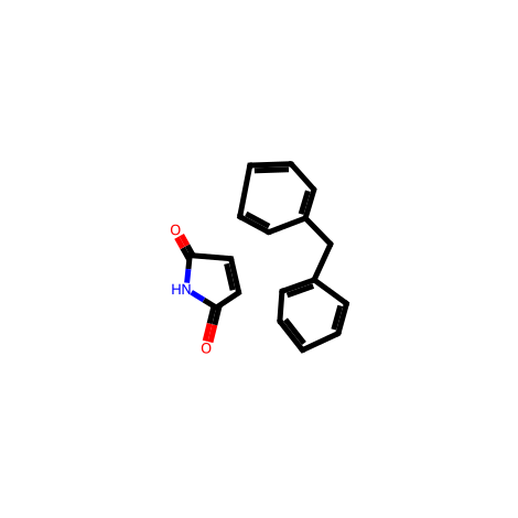 O=C1C=CC(=O)N1.c1ccc(Cc2ccccc2)cc1